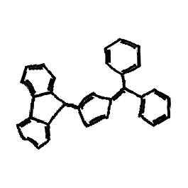 [C]1=C(C2c3ccccc3-c3ccccc32)C=CC1=C(c1ccccc1)c1ccccc1